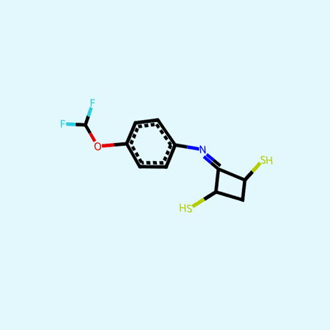 FC(F)Oc1ccc(N=C2C(S)CC2S)cc1